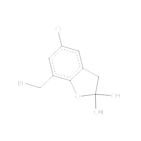 CC1(C)Cc2cc(Cl)cc(CBr)c2O1